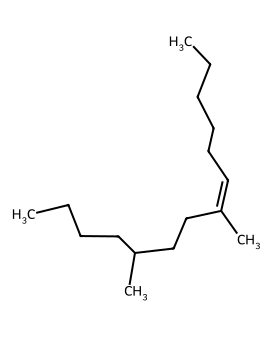 CCCCCC=C(C)CCC(C)CCCC